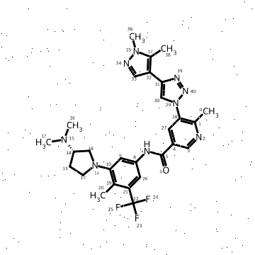 Cc1ncc(C(=O)Nc2cc(N3CC[C@H](N(C)C)C3)c(C)c(C(F)(F)F)c2)cc1-n1cc(-c2cnn(C)c2C)nn1